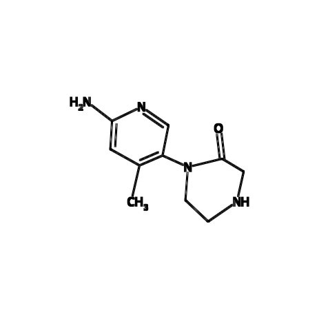 Cc1cc(N)ncc1N1CCNCC1=O